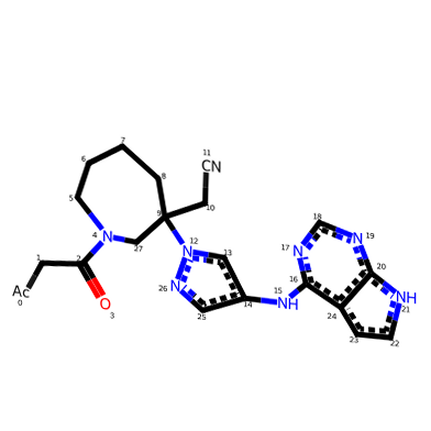 CC(=O)CC(=O)N1CCCCC(CC#N)(n2cc(Nc3ncnc4[nH]ccc34)cn2)C1